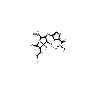 CC1C(SC2CNC(C(=O)N(C)C)C2)=C(C(=O)O)N2C(=O)C(CCO)[C@H]12